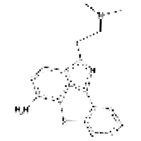 CN(C)CCn1nc2c3c(c(N)ccc31)Sc1ncccc1-2